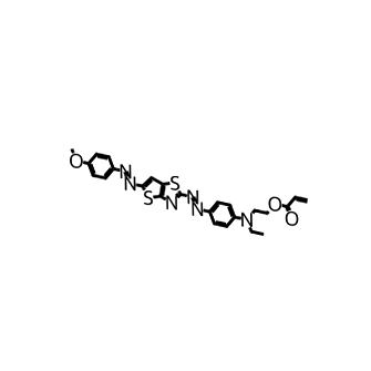 C=CC(=O)OCCN(CC)c1ccc(N=Nc2nc3sc(N=Nc4ccc(OC)cc4)cc3s2)cc1